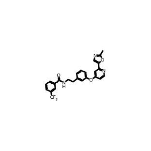 Cc1ncc(-c2cc(Oc3cccc(CCNC(=O)c4cccc(C(F)(F)F)c4)c3)ccn2)o1